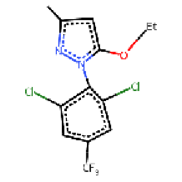 CCOc1cc(C)nn1-c1c(Cl)cc(C(F)(F)F)cc1Cl